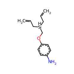 C=CC[SiH](CC=C)COc1ccc(N)cc1